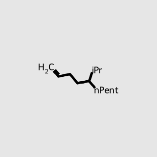 C=CCCC(CCCCC)C(C)C